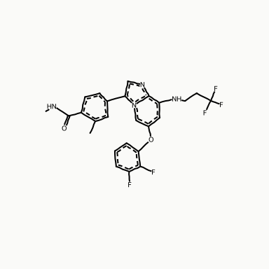 CNC(=O)c1ccc(-c2cnc3c(NCCC(F)(F)F)cc(Oc4cccc(F)c4F)cn23)cc1C